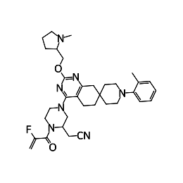 C=C(F)C(=O)N1CCN(c2nc(OCC3CCCN3C)nc3c2CCC2(CCN(c4ccccc4C)CC2)C3)CC1CC#N